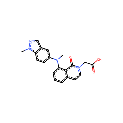 CN(c1ccc2c(cnn2C)c1)c1cccc2ccn(CC(=O)O)c(=O)c12